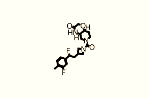 Cc1ccc(C(F)CC2CN(C(=O)N3CC[C@@H]4OCC(=O)N[C@@H]4C3)C2)cc1F